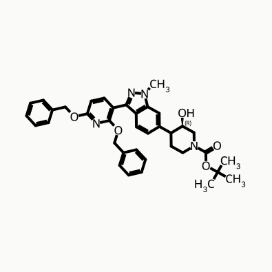 Cn1nc(-c2ccc(OCc3ccccc3)nc2OCc2ccccc2)c2ccc(C3CCN(C(=O)OC(C)(C)C)C[C@@H]3O)cc21